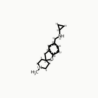 CN1CCC2(CC1)Cc1cc(CNC3CC3)ccc1O2